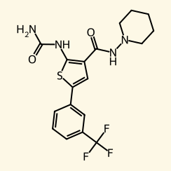 NC(=O)Nc1sc(-c2cccc(C(F)(F)F)c2)cc1C(=O)NN1CCCCC1